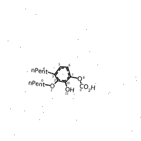 CCCCCOc1c(CCCCC)ccc(OC(=O)O)c1O